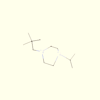 CC(C)N1CCN(CC(C)(C)C)CC1